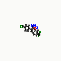 NC(=O)C(CC1CCC(F)(F)CC1)c1ccc(Cl)cc1